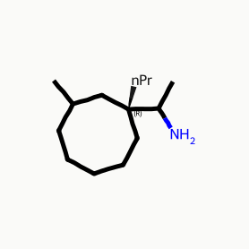 CCC[C@@]1(C(C)N)CCCCCC(C)C1